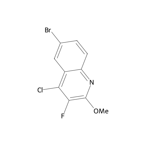 COc1nc2ccc(Br)cc2c(Cl)c1F